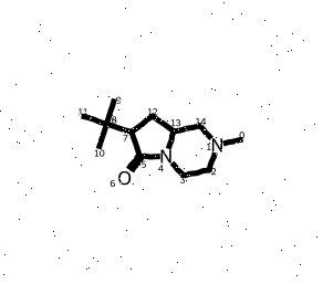 CN1CCN2C(=O)C(C(C)(C)C)CC2C1